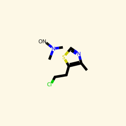 CN(C)N=O.Cc1ncsc1CCCl